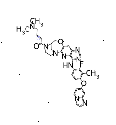 Cc1c(Oc2ccn3ccnc3c2)ccc(Nc2ncnc3cc4c(nc23)N2CCN(C(=O)/C=C/CN(C)C)C(CO4)C2)c1F